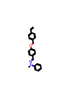 C=Cc1ccc(COc2ccc(C=NN(C)c3ccccc3)cc2)cc1